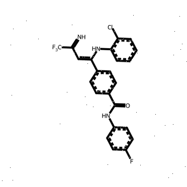 N=C(/C=C(\Nc1ccccc1Cl)c1ccc(C(=O)Nc2ccc(F)cc2)cc1)C(F)(F)F